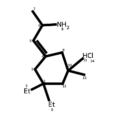 CCC1(CC)CC(=CC(C)N)CC(C)(C)C1.Cl